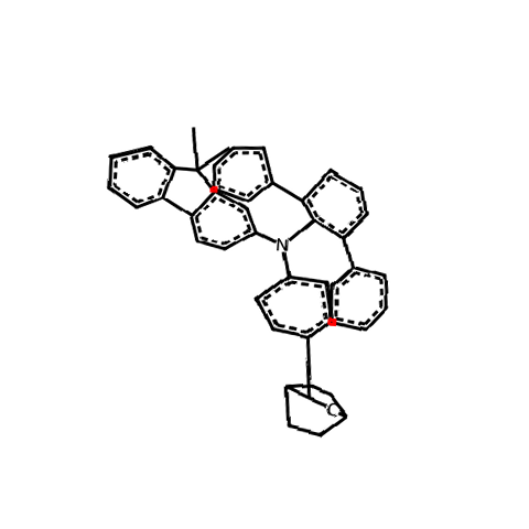 CC1(C)c2ccccc2-c2ccc(N(c3ccc(C4CC5CCC4CC5)cc3)c3c(-c4ccccc4)cccc3-c3ccccc3)cc21